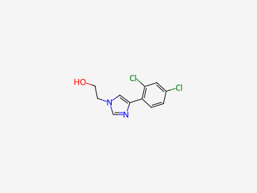 OCCn1cnc(-c2ccc(Cl)cc2Cl)c1